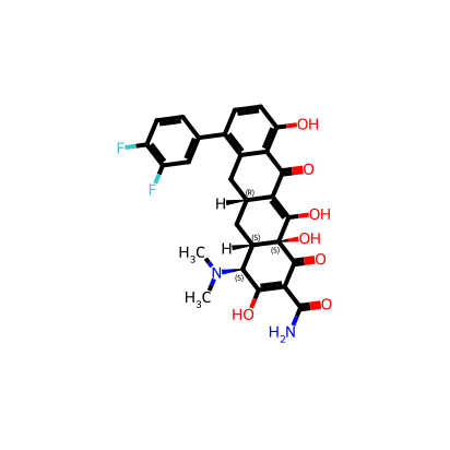 CN(C)[C@@H]1C(O)=C(C(N)=O)C(=O)[C@@]2(O)C(O)=C3C(=O)c4c(O)ccc(-c5ccc(F)c(F)c5)c4C[C@H]3C[C@@H]12